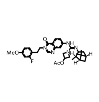 COc1ccc(CCn2cnc3cc(N/C(=N/C4C[C@@H]5C[C@H]([C@@H]4C)C5(C)C)N4CC(OC(C)=O)C4)ccc3c2=O)c(F)c1